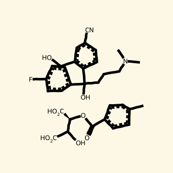 CN(C)CCCC(O)(c1ccc(F)cc1)c1ccc(C#N)cc1CO.Cc1ccc(C(=O)O[C@H](C(=O)O)C(O)C(=O)O)cc1